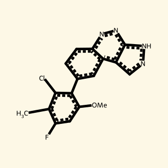 COc1cc(F)c(C)c(Cl)c1-c1ccc2nnc3[nH]ncc3c2c1